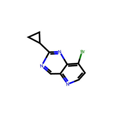 Brc1ccnc2cnc(C3CC3)nc12